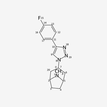 CN1C2CCC1CC(n1cc(-c3ccc(F)cc3)nn1)C2